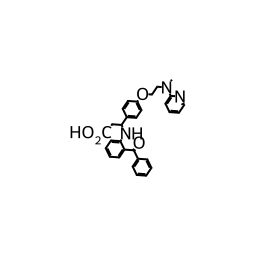 CN(CCOc1ccc(C(CC(=O)O)Nc2ccccc2C(=O)c2ccccc2)cc1)c1ccccn1